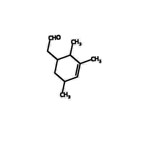 CC1=CC(C)CC(CC=O)C1C